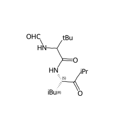 CC[C@@H](C)[C@H](NC(=O)C(NC=O)C(C)(C)C)C(=O)C(C)C